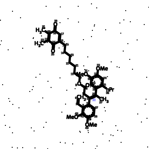 C=Cc1c(/C(CC(=O)OCCCCCCCC2=CC(=O)C(C)=C(C)C2=O)=C(\C)c2cc(OC)c(OC)cc2CCC)ccc(OC)c1OC